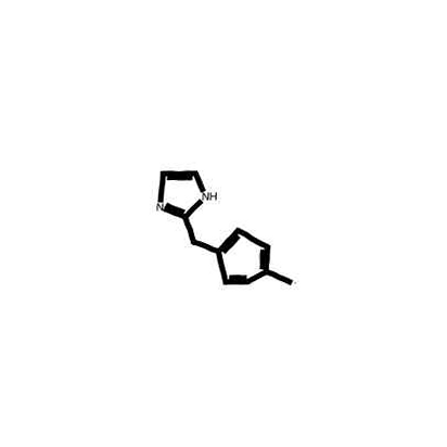 [CH2]c1ccc(Cc2ncc[nH]2)cc1